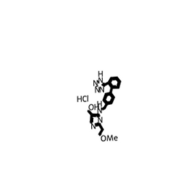 COCCc1ncc(CO)c(NCc2ccc(-c3ccccc3-c3nnn[nH]3)cc2)n1.Cl